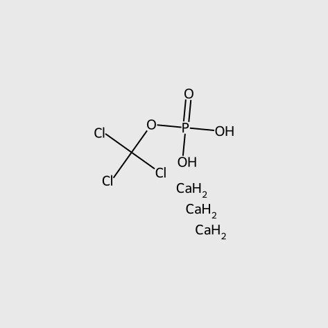 O=P(O)(O)OC(Cl)(Cl)Cl.[CaH2].[CaH2].[CaH2]